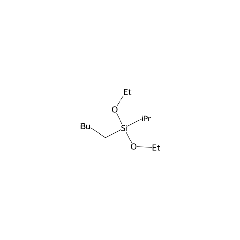 CCO[Si](CC(C)CC)(OCC)C(C)C